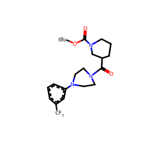 CC(C)(C)OC(=O)N1CCCC(C(=O)N2CCN(c3cccc(C(F)(F)F)c3)CC2)C1